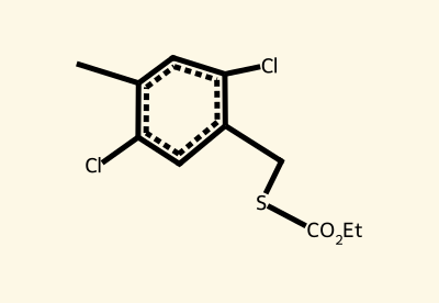 CCOC(=O)SCc1cc(Cl)c(C)cc1Cl